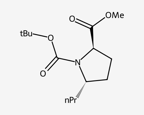 CCC[C@H]1CC[C@H](C(=O)OC)N1C(=O)OC(C)(C)C